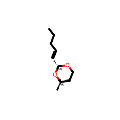 CCCC=C[C@@H]1OCC[C@@H](C)O1